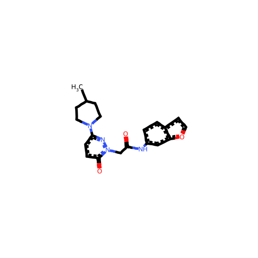 CC1CCN(c2ccc(=O)n(CC(=O)Nc3ccc4ccoc4c3)n2)CC1